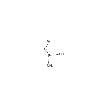 [2H]OP(N)O